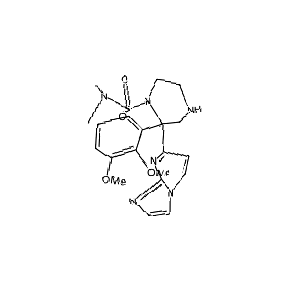 COc1cccc(C2(c3ccn4ccnc4n3)CNCCN2S(=O)(=O)N(C)C)c1OC